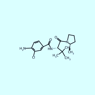 C[C@@H]1CCCN1C(=O)[C@@H](NC(=O)c1ccc(N)c(Cl)c1)C(C)(C)C